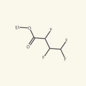 CCOC(=O)C(F)C(F)C(F)F